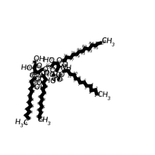 CCCCCCCCCCCCCC(=O)N[C@H]1[C@@H](OP(=O)(O)O)O[C@H](CO[C@@H]2O[C@H](CO)[C@@H](O)[C@H](OC(=O)C[C@H](O)CCCCCCCCCCC)[C@H]2NC(=O)C[C@H](O)CCCCCCCCCCC)[C@@H](O)[C@@H]1OC(=O)CCCCCCCCCCCCC